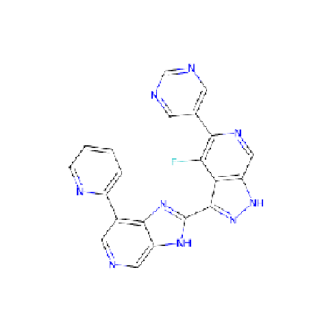 Fc1c(-c2cncnc2)ncc2[nH]nc(-c3nc4c(-c5ccccn5)cncc4[nH]3)c12